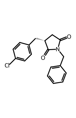 O=C1C[C@@H](Cc2ccc(Cl)cc2)C(=O)N1Cc1ccccc1